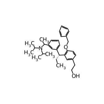 CC[C@H](c1cccc(C(C)N(C(C)C)C(C)C)c1)c1cc(CCO)ccc1OCc1ccccc1